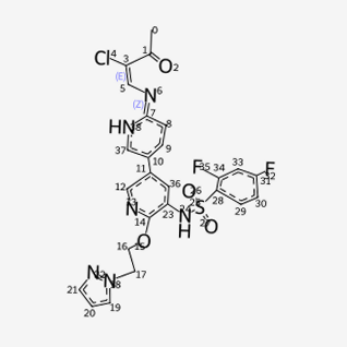 CC(=O)/C(Cl)=C\N=c1\ccc(-c2cnc(OCCn3cccn3)c(NS(=O)(=O)c3ccc(F)cc3F)c2)c[nH]1